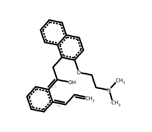 C=C/C=c1/cccc/c1=C(/O)Cc1c(OCCN(C)C)ccc2ccccc12